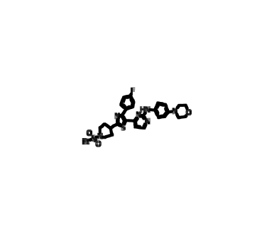 CCS(=O)(=O)N1CCC(c2nc(-c3ccc(F)cc3)c(-c3ccnc(Nc4ccc(N5CCOCC5)cc4)n3)s2)CC1